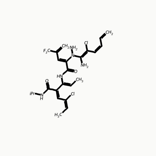 C=C/C=C\C(Cl)=C(/N)N(N)/C(=C\C(=C)C(F)(F)F)C(=O)NC(=C\C)/C(=C\C(Cl)=C/C)C(=O)NC(C)C